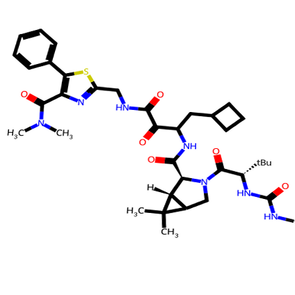 CN(C)C(=O)c1nc(CNC(=O)C(=O)C(CC2CCC2)NC(=O)[C@@H]2[C@@H]3C(CN2C(=O)[C@@H](NC(=O)NC(C)(C)C)C(C)(C)C)C3(C)C)sc1-c1ccccc1